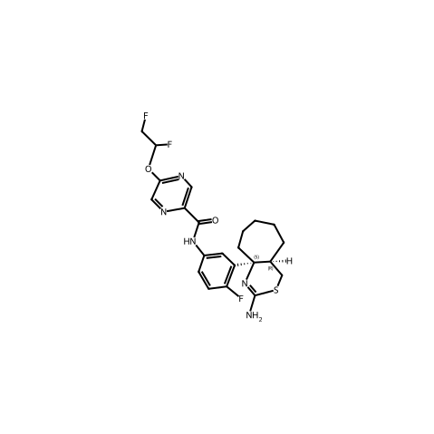 NC1=N[C@@]2(c3cc(NC(=O)c4cnc(OC(F)CF)cn4)ccc3F)CCCCC[C@H]2CS1